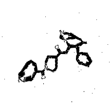 CC1=C(c2ccccc2)C(CC(=O)C2CCN(C(=O)c3cccnc3)CC2)n2cncc21